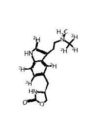 [2H]c1[nH]c2c([2H])c([2H])c(C[C@H]3COC(=O)N3)c([2H])c2c1CCN(C)C([2H])([2H])[2H]